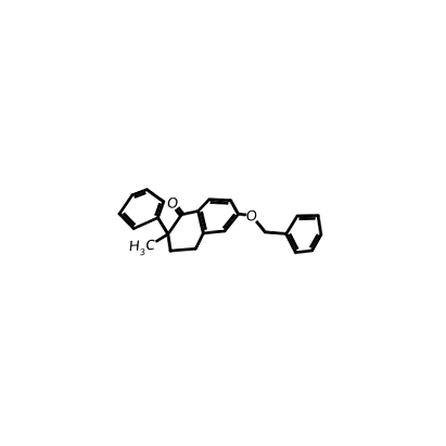 CC1(c2ccccc2)CCc2cc(OCc3ccccc3)ccc2C1=O